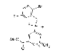 C=C/C=C(\C=C(/C)C(=O)OC)C(F)(F)Cc1cc(F)ccc1Br